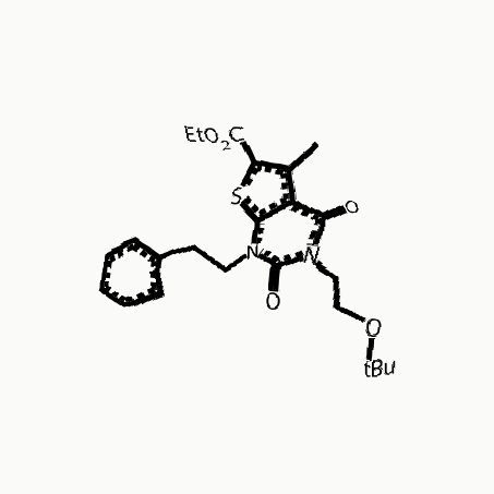 CCOC(=O)c1sc2c(c1C)c(=O)n(CCOC(C)(C)C)c(=O)n2CCc1ccccc1